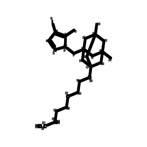 Cc1c(I)cnn1CC12CC3(C)CC(C)(C1)CC(OCCOCCNC(=O)O)(C3)C2